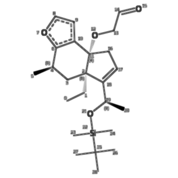 CC[C@]12C[C@@H](C)c3occc3[C@@]1(OCC=O)CC=C2[C@@H](C)O[Si](C)(C)C(C)(C)C